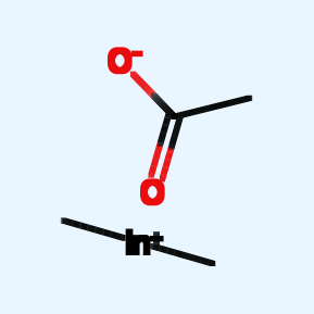 CC(=O)[O-].[CH3][In+][CH3]